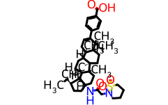 C=C(C)[C@@H]1CC[C@]2(NC(=O)CN3CCCCS3(=O)=O)CC[C@]3(C)[C@H](CC[C@@H]4[C@@]5(C)CC=C(c6ccc(C(=O)O)cc6)C(C)(C)[C@@H]5CC[C@]43C)[C@@H]12